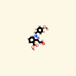 COC(=O)c1cccc2c1c(CC=O)nn2Cc1ccc(OC)cc1